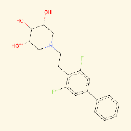 OC1[C@H](O)CN(CCc2c(F)cc(-c3ccccc3)cc2F)C[C@@H]1O